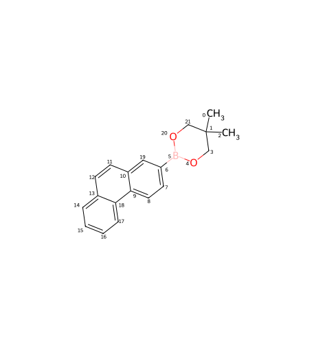 CC1(C)COB(c2ccc3c(ccc4ccccc43)c2)OC1